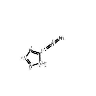 C1=NN=N[NH2+]1.[N-]=[N+]=[N-]